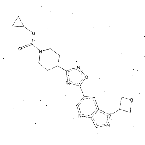 O=C(OC1CC1)N1CCC(c2noc(-c3cnc4cnn(C5COC5)c4c3)n2)CC1